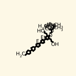 C=CC1CCC(C2CCC(c3ccc(-c4ccc(-c5cc(CCCO)c(OCCC(CO[Si](C)(C)C(C)(C)C)CO[Si](C)(C)C(C)(C)C)c(CCCO)c5)c(CC)c4)c(F)c3)CC2)CC1